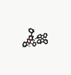 c1ccc(-c2cccc(N(c3ccc4c(c3)C3(c5ccccc5-c5ccccc53)c3ccccc3-4)c3ccccc3-c3cccc4c3oc3ccccc34)c2)cc1